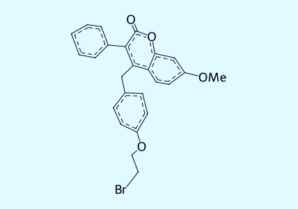 COc1ccc2c(Cc3ccc(OCCBr)cc3)c(-c3ccccc3)c(=O)oc2c1